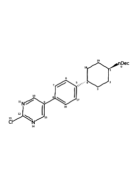 CCCCCCCCCC[C@H]1CC[C@H](c2ccc(-c3cnc(Cl)nc3)cc2)CC1